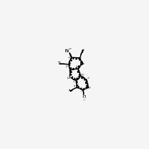 Cc1cc2c(sc3c(C)c(Cl)ccc32)c(C)c1Br